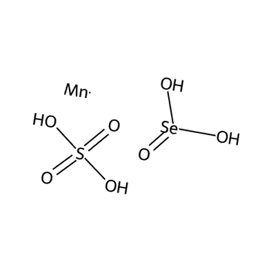 O=S(=O)(O)O.O=[Se](O)O.[Mn]